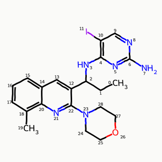 CCC(Nc1nc(N)ncc1I)c1cc2cccc(C)c2nc1N1CCOCC1